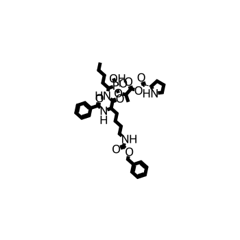 CCCCC(NC(=O)C(CCCCNC(=O)OCc1ccccc1)NC(=O)c1ccccc1)P(=O)(O)OC(C)C(=O)OC(=O)[C@@H]1CCCN1